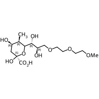 COCCOCCOC[C@@H](O)[C@@H](O)C1O[C@](O)(C(=O)O)C[C@@H](O)[C@H]1C